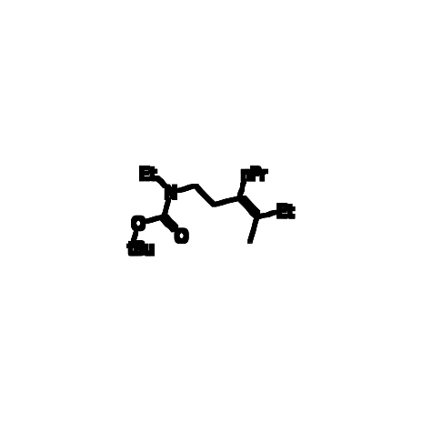 CCC/C(CCN(CC)C(=O)OC(C)(C)C)=C(/C)CC